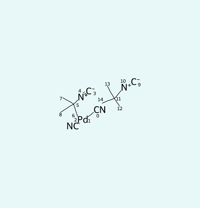 N#[C][Pd][C]#N.[C-]#[N+]C(C)(C)C.[C-]#[N+]C(C)(C)C